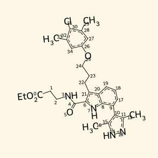 CCOC(=O)CCNC(=O)c1[nH]c2c(-c3c(C)n[nH]c3C)cccc2c1CCCOc1cc(C)c(Cl)c(C)c1